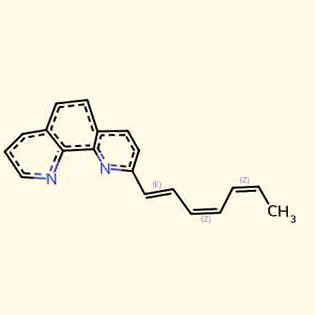 C\C=C/C=C\C=C\c1ccc2ccc3cccnc3c2n1